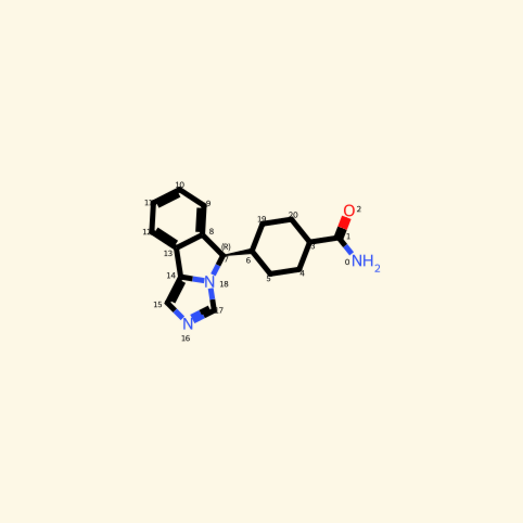 NC(=O)C1CCC([C@@H]2c3ccccc3-c3cncn32)CC1